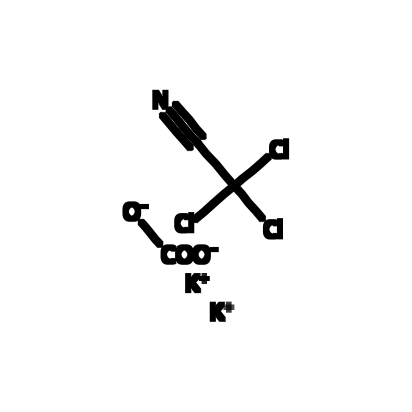 N#CC(Cl)(Cl)Cl.O=C([O-])[O-].[K+].[K+]